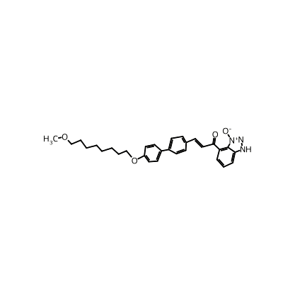 COCCCCCCCCOc1ccc(-c2ccc(/C=C/C(=O)c3cccc4[nH]n[n+]([O-])c34)cc2)cc1